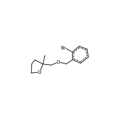 CC1(COCc2ccccc2Br)CCCO1